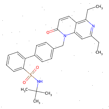 CCc1cc2c(ccc(=O)n2Cc2ccc(-c3ccccc3S(=O)(=O)NC(C)(C)C)cc2)c(CC)n1